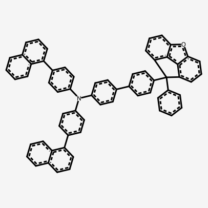 c1ccc(C2(c3ccc(-c4ccc(N(c5ccc(-c6cccc7ccccc67)cc5)c5ccc(-c6cccc7ccccc67)cc5)cc4)cc3)c3cccc4oc5cccc2c5c34)cc1